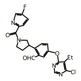 CCc1c(Cl)ncnc1Oc1ccc(C2CCN(C(=O)c3ccc(F)cn3)C2)c(C=O)c1